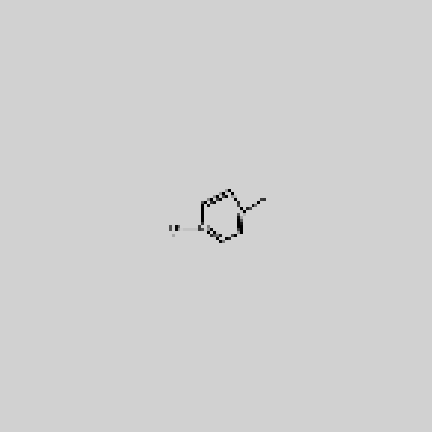 B[n+]1ccc(C)cc1